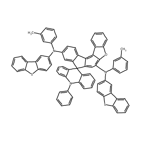 Cc1cccc(N(c2ccc3c(c2)C2(c4ccccc4N(c4ccccc4)c4ccccc42)c2cc(N(c4cccc(C)c4)c4ccc5sc6ccccc6c5c4)c4oc5ccccc5c4c2-3)c2ccc3sc4ccccc4c3c2)c1